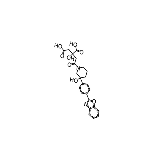 O=C(O)CC(O)(CC(=O)N1CCCC(O)(c2ccc(-c3nc4ccccc4o3)cc2)C1)C(=O)O